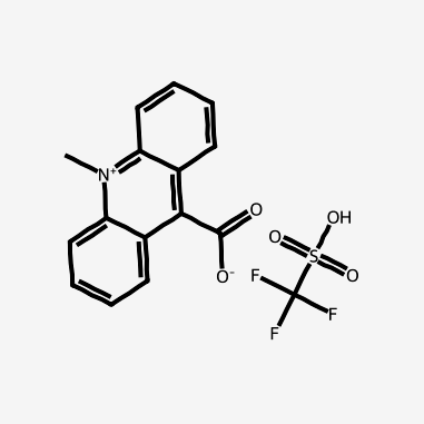 C[n+]1c2ccccc2c(C(=O)[O-])c2ccccc21.O=S(=O)(O)C(F)(F)F